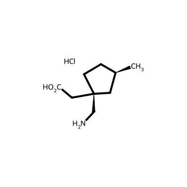 C[C@@H]1CC[C@@](CN)(CC(=O)O)C1.Cl